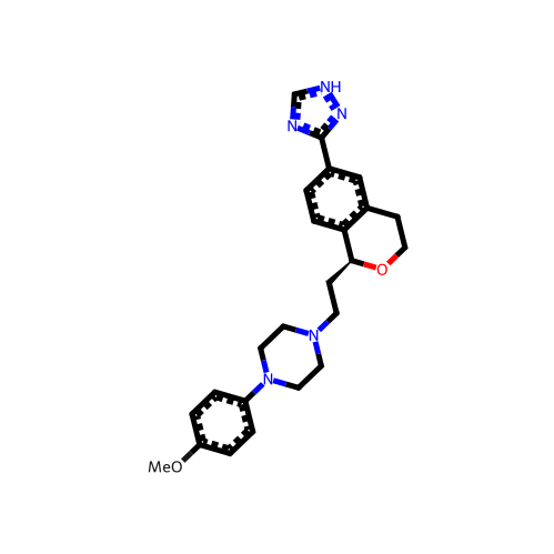 COc1ccc(N2CCN(CC[C@@H]3OCCc4cc(-c5nc[nH]n5)ccc43)CC2)cc1